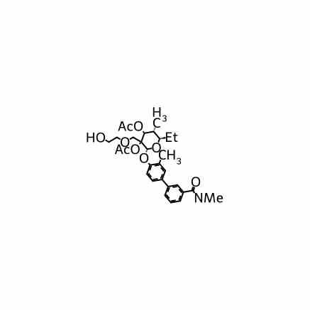 CC[C@H]1O[C@H](Oc2ccc(-c3cccc(C(=O)NC)c3)cc2C)[C@@](COCCO)(OC(C)=O)[C@@H](OC(C)=O)[C@@H]1C